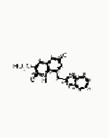 O=C(O)c1cc2cc(Cl)cc(Cc3nc4ccccc4s3)c2[nH]c1=O